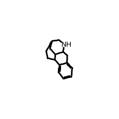 c1ccc2c(c1)CC1NCC3CCC2C1C3